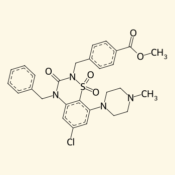 COC(=O)c1ccc(CN2C(=O)N(Cc3ccccc3)c3cc(Cl)cc(N4CCN(C)CC4)c3S2(=O)=O)cc1